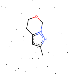 Cc1cc2n(n1)COCC2